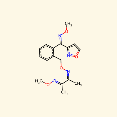 CON=C(C)C(C)=NOCc1ccccc1C(=NOC)c1ccon1